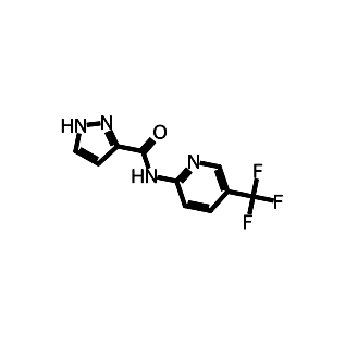 O=C(Nc1ccc(C(F)(F)F)cn1)c1cc[nH]n1